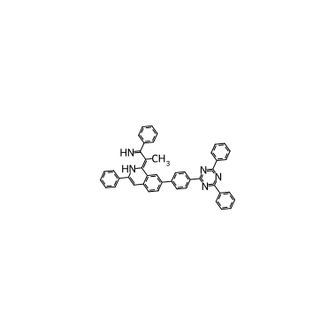 C/C(C(=N)c1ccccc1)=C1/NC(c2ccccc2)=Cc2ccc(-c3ccc(-c4nc(-c5ccccc5)nc(-c5ccccc5)n4)cc3)cc21